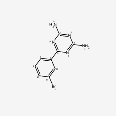 Nc1nc(N)nc(-c2cccc(Br)c2)n1